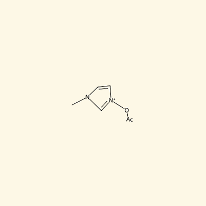 CC(=O)O[n+]1ccn(C)c1